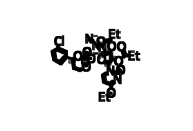 CCOc1ccn([C@@H]2O[C@@](CO[P@@]3(=O)OCC[C@@H](c4cccc(Cl)c4)O3)(N=[N+]=[N-])[C@@H](OC(=O)CC)[C@H]2OC(=O)CC)c(=O)n1